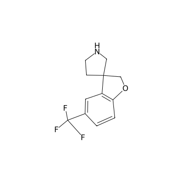 FC(F)(F)c1ccc2c(c1)C1(CCNC1)CO2